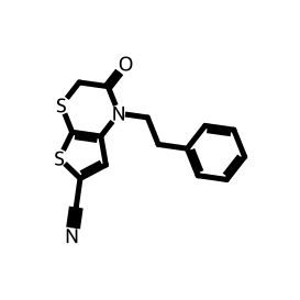 N#Cc1cc2c(s1)SCC(=O)N2CCc1ccccc1